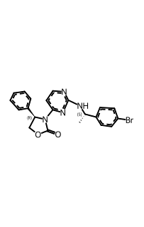 C[C@H](Nc1nccc(N2C(=O)OC[C@H]2c2ccccc2)n1)c1ccc(Br)cc1